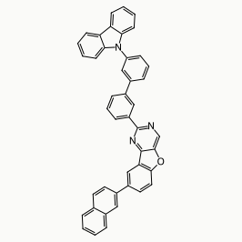 c1cc(-c2cccc(-n3c4ccccc4c4ccccc43)c2)cc(-c2ncc3oc4ccc(-c5ccc6ccccc6c5)cc4c3n2)c1